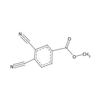 COC(=O)c1ccc(C#N)c(C#N)c1